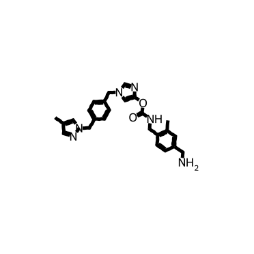 Cc1cnn(Cc2ccc(Cn3cnc(OC(=O)NCc4ccc(CN)cc4C)c3)cc2)c1